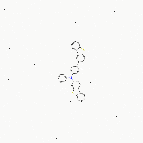 c1ccc(N(c2ccc(-c3ccc4sc5ccccc5c4c3)cc2)c2ccc3c(c2)sc2ccccc23)cc1